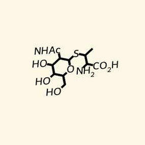 CC(=O)NC1C(SC(C)C(N)C(=O)O)OC(CO)C(O)C1O